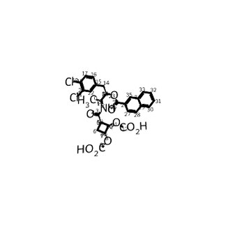 C[C@H](NC(=O)[C@@H]1C[C@@H](OC(=O)O)[C@@H]1OC(=O)O)[C@@H](Cc1ccc(Cl)c(Cl)c1)OC(=O)c1ccc2ccccc2c1